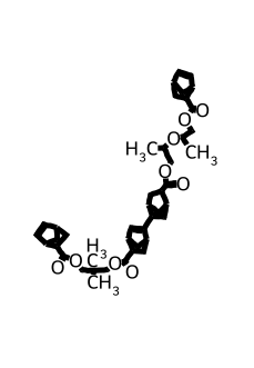 CC(COC(=O)C1CC2C=CC1C2)OC(C)COC(=O)C1CC2CC1C=C2C1=CC2CC1CC2C(=O)OCC(C)(C)COC(=O)C1CC2C=CC1C2